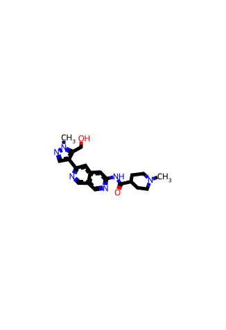 CN1CCC(C(=O)Nc2cc3cc(-c4cnn(C)c4CO)ncc3cn2)CC1